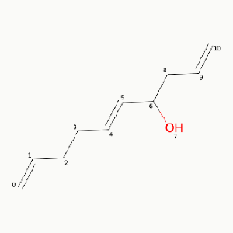 C=CCCC=CC(O)CC=C